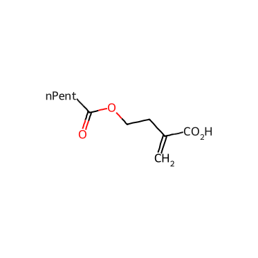 C=C(CCOC(=O)CCCCC)C(=O)O